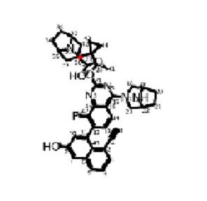 C#Cc1cccc2cc(O)cc(-c3ccc4c(N5CC6CCC(C5)N6)nc(OCC5(CN6C7CCC6CC(C(O)OC)C7)CC5)nc4c3F)c12